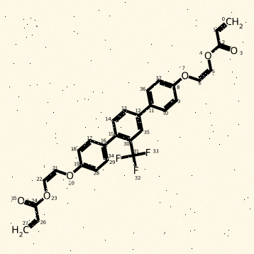 C=CC(=O)O/C=C\Oc1ccc(-c2ccc(-c3ccc(O/C=C\OC(=O)C=C)cc3)c(C(F)(F)F)c2)cc1